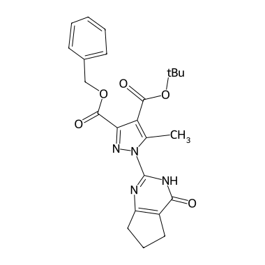 Cc1c(C(=O)OC(C)(C)C)c(C(=O)OCc2ccccc2)nn1-c1nc2c(c(=O)[nH]1)CCC2